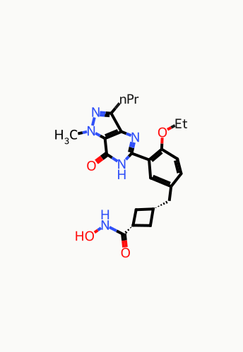 CCCc1nn(C)c2c(=O)[nH]c(-c3cc(C[C@H]4C[C@@H](C(=O)NO)C4)ccc3OCC)nc12